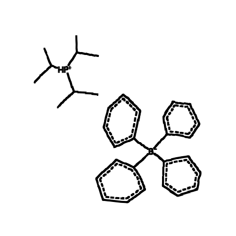 CC(C)[PH+](C(C)C)C(C)C.c1ccc([B-](c2ccccc2)(c2ccccc2)c2ccccc2)cc1